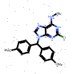 COc1ccc(C(c2ccc(OC)cc2)n2cnc3c(NC(C)(C)C)nc(Cl)nc32)cc1